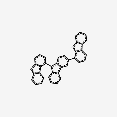 c1ccc2c(c1)oc1c(-c3ccc4c(c3)c3ccccc3n4-c3cccc4oc5ccccc5c34)cccc12